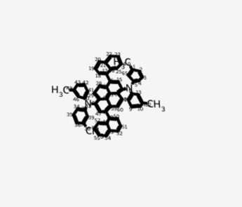 Cc1cccc(N(c2cccc(C)c2)c2cc(-c3cccc4ccccc34)c3ccc4c(N(c5cccc(C)c5)c5cccc(C)c5)cc(-c5cccc6ccccc56)c5ccc2c3c54)c1